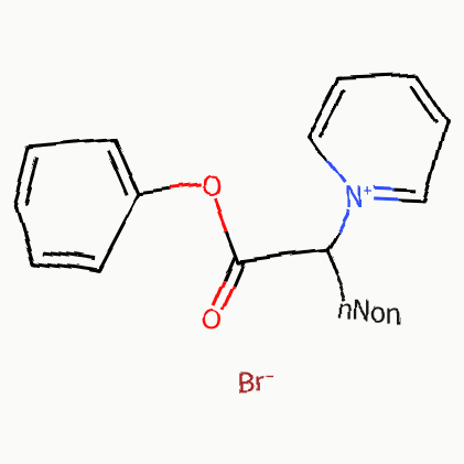 CCCCCCCCCC(C(=O)Oc1ccccc1)[n+]1ccccc1.[Br-]